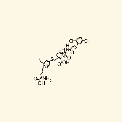 CCc1cc(SCC2=C(C(=O)O)N3C(=O)[C@H](NC(=O)CSc4cc(Cl)ccc4Cl)[C@H]3SC2)cc[n+]1CCC[C@H](N)C(=O)O